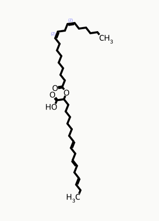 CCC=CCC=CCC=CCCCCCCC(OC(=O)CCCCCCC/C=C\C/C=C\CCCCC)C(=O)O